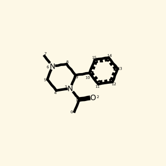 CC(=O)N1CCN(C)CC1c1ccccc1